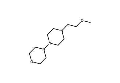 COCCN1CCN(N2CCOCC2)CC1